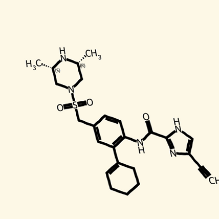 C#Cc1c[nH]c(C(=O)Nc2ccc(CS(=O)(=O)N3C[C@@H](C)N[C@@H](C)C3)cc2C2=CCCCC2)n1